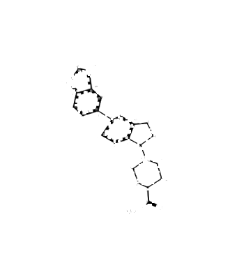 COC(=O)C1CCN(C2CCc3cc(-c4ccc5ocnc5c4)ccc32)CC1